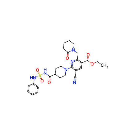 CCOC(=O)c1cc(C#N)c(N2CCC(C(=O)NS(=O)(=O)Nc3ccccc3)CC2)nc1CN1CCCCC1=O